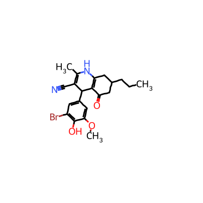 CCCC1CC(=O)C2=C(C1)NC(C)=C(C#N)C2c1cc(Br)c(O)c(OC)c1